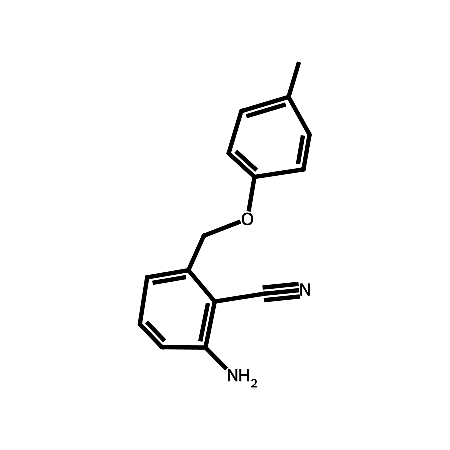 Cc1ccc(OCc2cccc(N)c2C#N)cc1